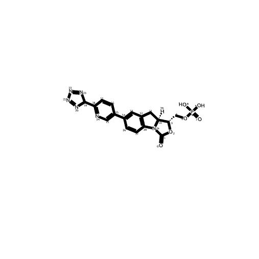 O=C1O[C@@H](COP(=O)(O)O)[C@@H]2Cc3cc(-c4ccc(C5N=NN=N5)nc4)ccc3N12